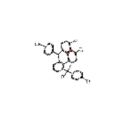 Clc1ccc(-c2c(C(c3ccc(Cl)cc3)c3ccc(Cl)cc3)cccc2C(Cl)(Cl)c2ccc(Cl)cc2)cc1